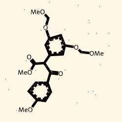 COCOc1cc(OCOC)cc(C(C(=O)OC)C(=O)c2ccc(OC)cc2)c1